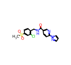 CS(=O)(=O)c1ccc(CNC(=O)c2ccc(-n3cccn3)nc2)c(Cl)c1